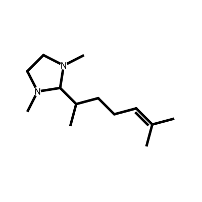 CC(C)=CCCC(C)C1N(C)CCN1C